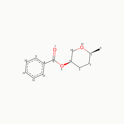 C[C@H]1CC[C@@H](OC(=O)c2ccccc2)CO1